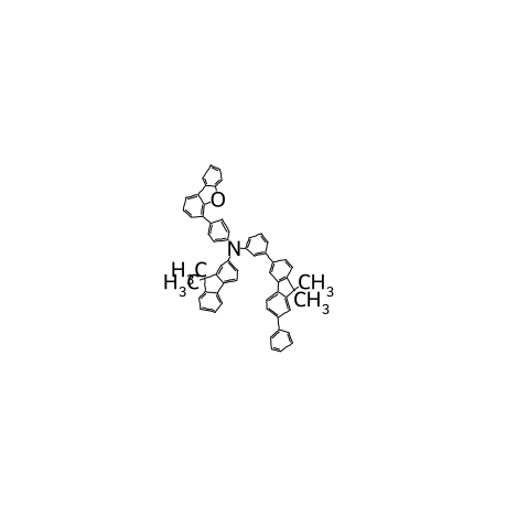 CC1(C)c2ccc(-c3cccc(N(c4ccc(-c5cccc6c5oc5ccccc56)cc4)c4ccc5c(c4)C(C)(C)c4ccccc4-5)c3)cc2-c2ccc(-c3ccccc3)cc21